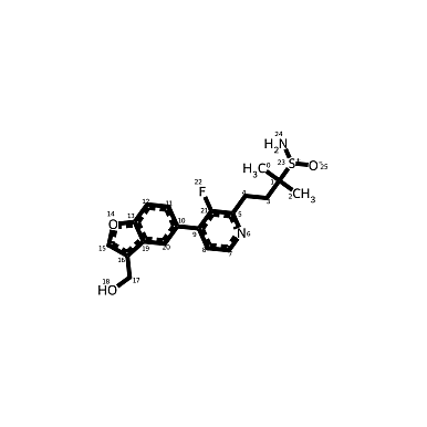 CC(C)(CCc1nccc(-c2ccc3occ(CO)c3c2)c1F)[S+](N)[O-]